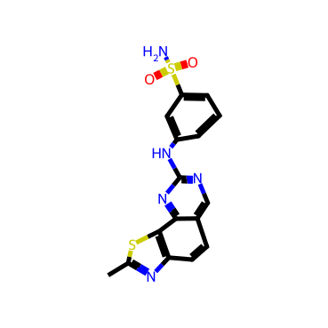 Cc1nc2ccc3cnc(Nc4cccc(S(N)(=O)=O)c4)nc3c2s1